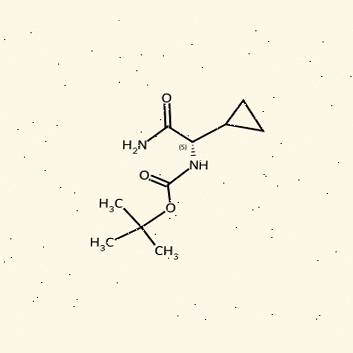 CC(C)(C)OC(=O)N[C@H](C(N)=O)C1CC1